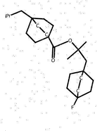 CC(C)CC12CCC(C(=O)OC(C)(C)CC34CCC(F)(CC3)CC4)(CC1)CC2